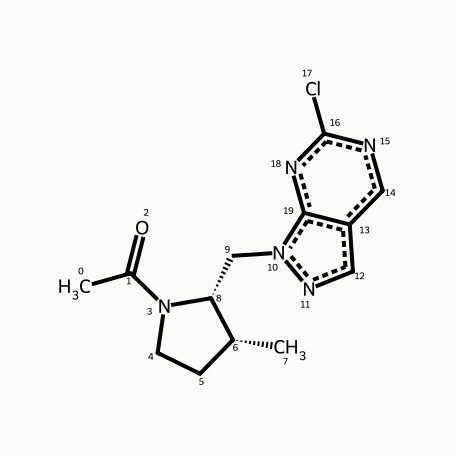 CC(=O)N1CC[C@@H](C)[C@H]1Cn1ncc2cnc(Cl)nc21